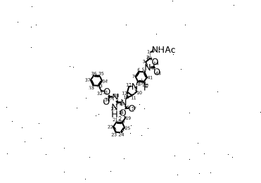 CC(=O)NC[C@H]1CN(c2ccc(N3CC4C(C3)C4N(C(=O)OCc3ccccc3)C(N)=NC(=O)OCc3ccccc3)c(F)c2)C(=O)O1